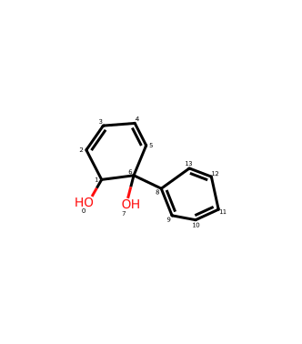 OC1C=CC=CC1(O)c1ccccc1